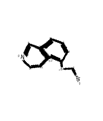 BrCOc1cccc2cnccc12